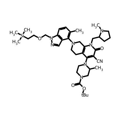 Cc1ccc2c(cnn2COCC[Si](C)(C)C)c1N1CCc2c(N3CCN(C(=O)OC(C)(C)C)CC3C)c(C#N)c(=O)n(CC3CCCN3C)c2C1